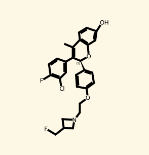 CC1=C(c2ccc(F)c(Cl)c2)[C@H](c2ccc(OCCN3CC(CF)C3)cc2)Oc2cc(O)ccc21